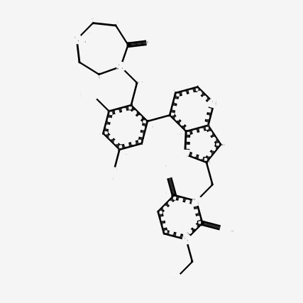 CCn1ccc(=O)n(Cc2cc3nccc(-c4cc(Cl)cc(C)c4CN4CCNCCC4=O)c3s2)c1=O